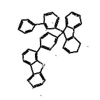 C1=CC2=C(CC1)c1ccccc1C2(c1ccc(-c2cccc3c2oc2ccccc23)cc1)c1cccc(-c2ccccc2)c1